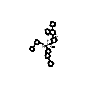 C=NC(N/C(=N\Cc1cccc(-c2ccccc2)c1)c1ccc2cc(-c3ccccc3)ccc2c1)c1ccc2oc3cc(-c4ccccc4)c4ccccc4c3c2c1